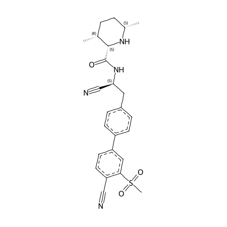 C[C@@H]1CC[C@H](C)N[C@@H]1C(=O)N[C@H](C#N)Cc1ccc(-c2ccc(C#N)c(S(C)(=O)=O)c2)cc1